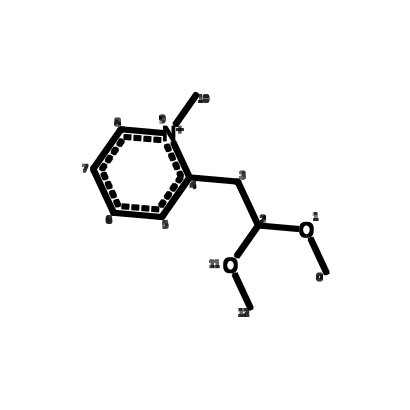 COC(Cc1cccc[n+]1C)OC